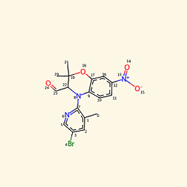 Cc1cc(Br)cnc1N1c2ccc([N+](=O)[O-])cc2OC(C)(C)C1C=O